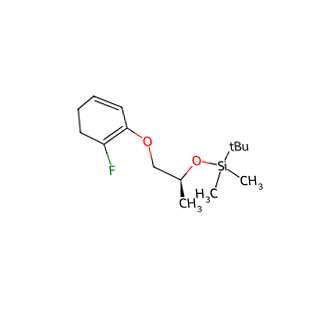 C[C@@H](COC1=C(F)CCC=C1)O[Si](C)(C)C(C)(C)C